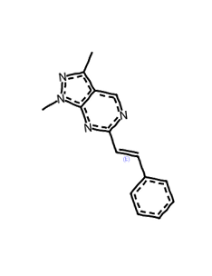 Cc1nn(C)c2nc(/C=C/c3ccccc3)ncc12